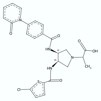 CC(C(=O)O)N1C[C@H](NC(=O)c2ccc(-n3ccccc3=O)cc2)[C@H](NC(=O)c2ccc(Cl)s2)C1